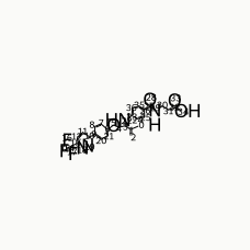 CC(C)C(COc1ccc(-c2ccc(C(F)(F)F)nn2)cc1)Nc1ccc(C(=O)NCCC(=O)O)cc1